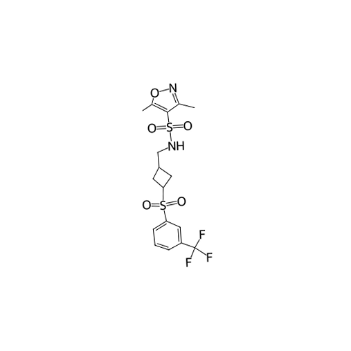 Cc1noc(C)c1S(=O)(=O)NCC1CC(S(=O)(=O)c2cccc(C(F)(F)F)c2)C1